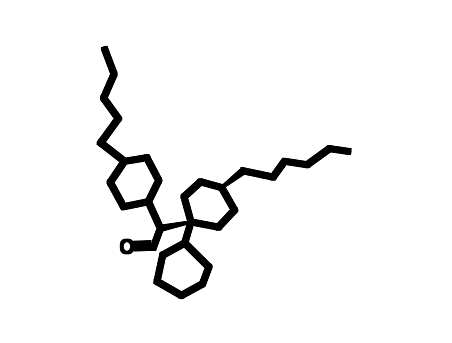 CCCCCC[C@H]1CC[C@@](C2CCCCC2)(C(C=O)C2CCC(CCCCC)CC2)CC1